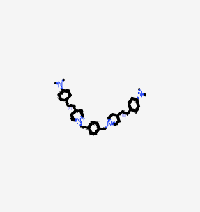 CN(C)c1ccc(/C=C/c2cc[n+](Cc3ccc(C[n+]4ccc(/C=C/c5ccc(N(C)C)cc5)cc4)cc3)cc2)cc1